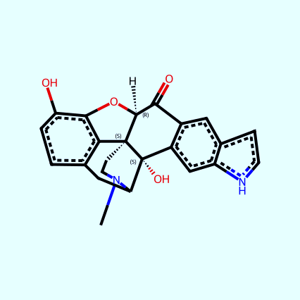 CN1CC[C@]23c4c5ccc(O)c4O[C@H]2C(=O)c2cc4cc[nH]c4cc2[C@@]3(O)C1C5